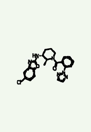 C[C@H]1[C@H](Nc2nc3cc(Cl)ccc3o2)CCCN1C(=O)c1ccccc1-n1nccn1